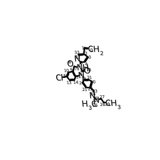 C=Cc1ccc(NC(=O)c2cc(Cl)ccc2N(C=O)c2ccc(C=NN(C)CCC)cc2)nc1